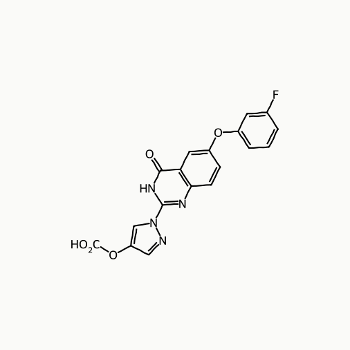 O=C(O)Oc1cnn(-c2nc3ccc(Oc4cccc(F)c4)cc3c(=O)[nH]2)c1